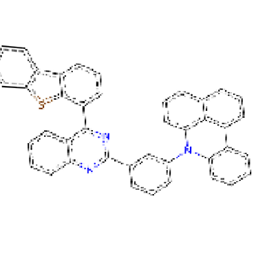 c1cc(-c2nc(-c3cccc4c3sc3ccccc34)c3ccccc3n2)cc(N2c3ccccc3-c3cccc4cccc2c34)c1